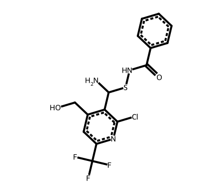 NC(SNC(=O)c1ccccc1)c1c(CO)cc(C(F)(F)F)nc1Cl